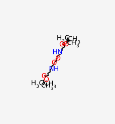 CC(C)(C)COC(=O)CCCCNCCOCCOCCNCCCC(=O)OCC(C)(C)C